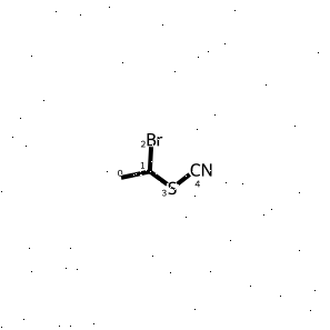 CC(Br)SC#N